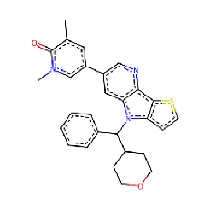 Cc1cc(-c2cnc3c4sccc4n(C(c4ccccc4)C4CCOCC4)c3c2)cn(C)c1=O